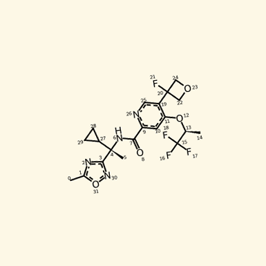 Cc1nc([C@@](C)(NC(=O)c2cc(O[C@@H](C)C(F)(F)F)c(C3(F)COC3)cn2)C2CC2)no1